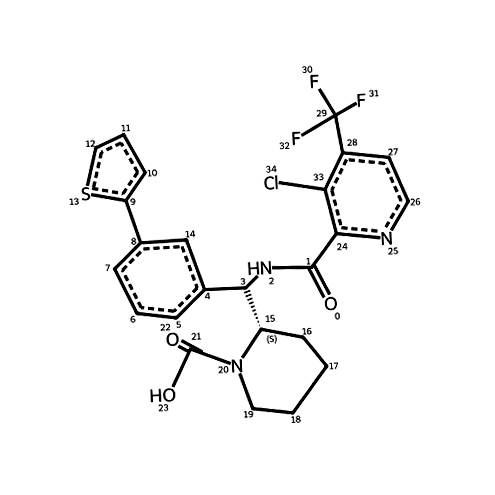 O=C(NC(c1cccc(-c2cccs2)c1)[C@@H]1CCCCN1C(=O)O)c1nccc(C(F)(F)F)c1Cl